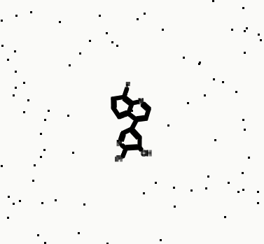 CC(C)c1ncc(-c2ccnc3c(F)cccc23)cc1O